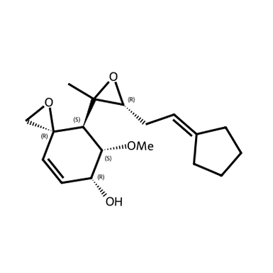 CO[C@@H]1[C@H](O)C=C[C@]2(CO2)[C@H]1C1(C)O[C@@H]1CC=C1CCCC1